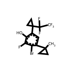 CC1(c2cc(C3(C(F)(F)C(F)(F)F)CC3)c(O)c(F)c2Br)CC1